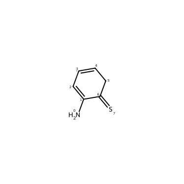 NC1=C[C]=CCC1=S